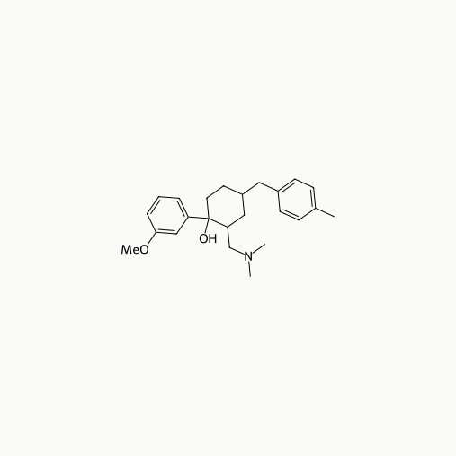 COc1cccc(C2(O)CCC(Cc3ccc(C)cc3)CC2CN(C)C)c1